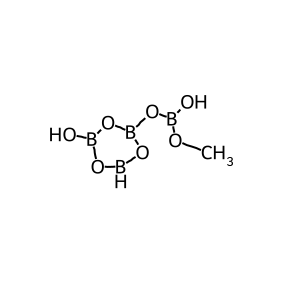 COB(O)OB1OBOB(O)O1